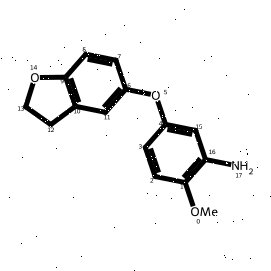 COc1ccc(Oc2ccc3c(c2)CCO3)cc1N